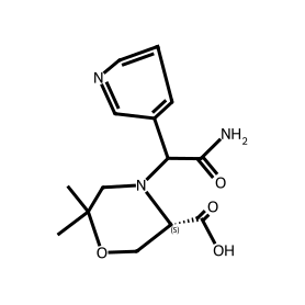 CC1(C)CN(C(C(N)=O)c2cccnc2)[C@H](C(=O)O)CO1